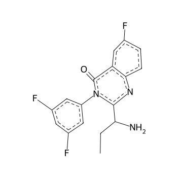 CCC(N)c1nc2ccc(F)cc2c(=O)n1-c1cc(F)cc(F)c1